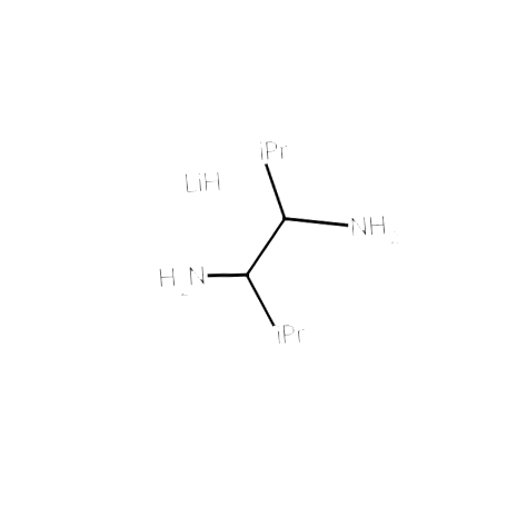 CC(C)C(N)C(N)C(C)C.[LiH]